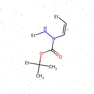 CC/C=C\N(NCC)C(=O)OC(C)(C)CC